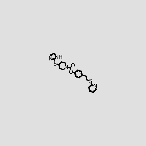 O=C(Oc1ccc(CCSc2ccccn2)cc1)N1CCC(Sc2ncc[nH]2)CC1